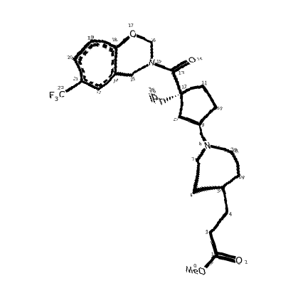 COC(=O)CCC1CCN([C@@H]2CC[C@@](C(=O)N3COc4ccc(C(F)(F)F)cc4C3)(C(C)C)C2)CC1